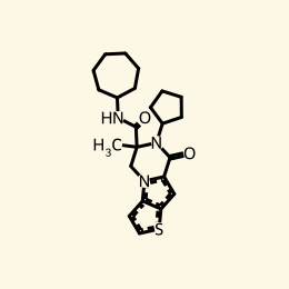 CC1(C(=O)NC2CCCCCC2)Cn2c(cc3sccc32)C(=O)N1C1CCCC1